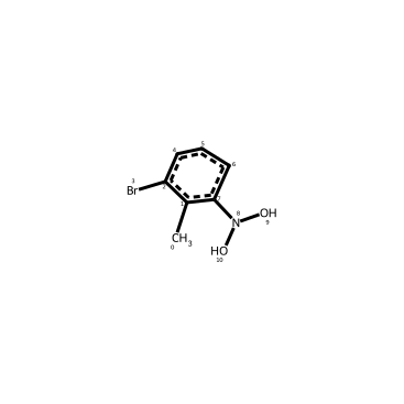 Cc1c(Br)cccc1N(O)O